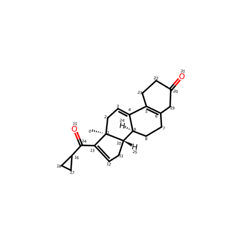 C[C@]12CC=C3C4=C(CC[C@H]3[C@@H]1CC=C2C(=O)C1CC1)CC(=O)CC4